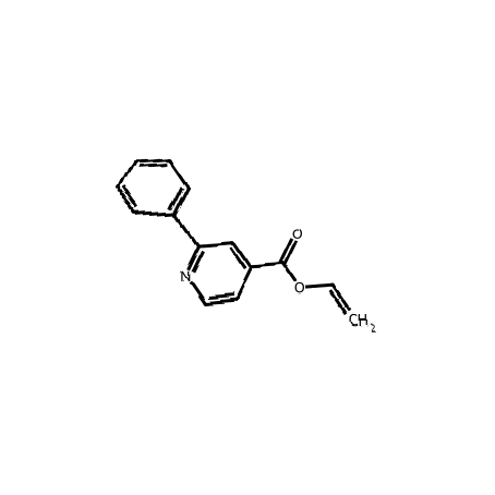 C=COC(=O)c1ccnc(-c2ccccc2)c1